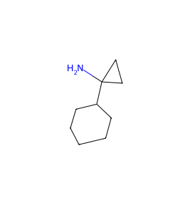 NC1(C2CCCCC2)CC1